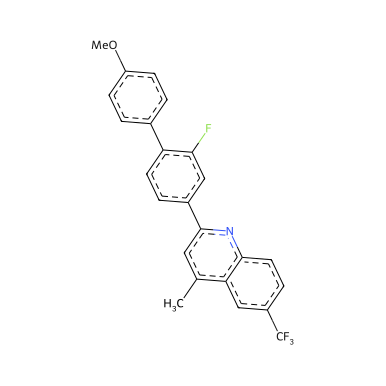 COc1ccc(-c2ccc(-c3cc(C)c4cc(C(F)(F)F)ccc4n3)cc2F)cc1